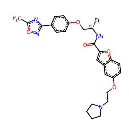 CC[C@@H](COc1ccc(-c2noc(C(F)(F)F)n2)cc1)NC(=O)c1cc2cc(OCCN3CCCC3)ccc2o1